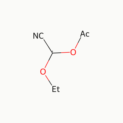 CCO[C](C#N)OC(C)=O